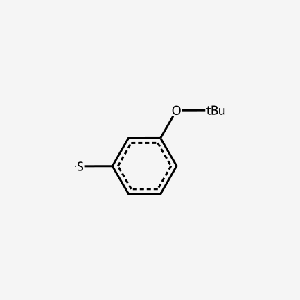 CC(C)(C)Oc1cccc([S])c1